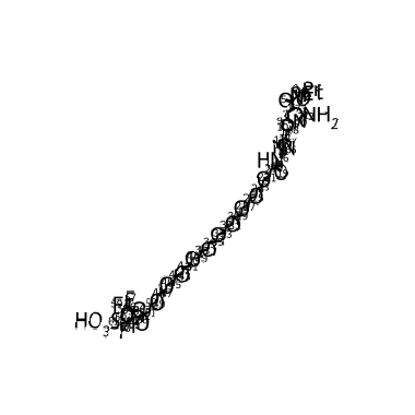 CCCN(OCC)C(=O)C1=Cc2ccc(-c3cnc(CNC(=O)CCOCCOCCOCCOCCOCCOCCOCCOCCOCCOCCC(=O)Oc4c(F)c(F)c(S(=O)(=O)O)c(F)c4F)nc3)cc2N=C(N)C1